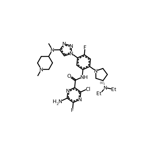 CCN(CC)[C@H]1CCN(c2cc(F)c(-n3cc(N(C)C4CCN(C)CC4)nn3)cc2NC(=O)c2nc(N)c(F)nc2Cl)C1